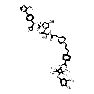 Cc1ncsc1-c1ccc([C@H](NC(=O)[C@@H]2C[C@@H](O)CN2C(=O)[C@@H](NC(=O)CN2CCN(CCCc3ccc(C(=O)NC4C(C)(C)C(Oc5ccc(C#N)c(C(F)(F)F)c5)C4(C)C)cc3)CC2)C(C)(C)C)C2COC2)cc1